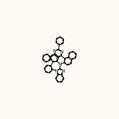 c1ccc(-c2nc(-c3ccccc3)nc(-c3c(N4c5ccccc5-c5ccccc5-n5c4nc4ccccc45)ccc4ccccc34)n2)cc1